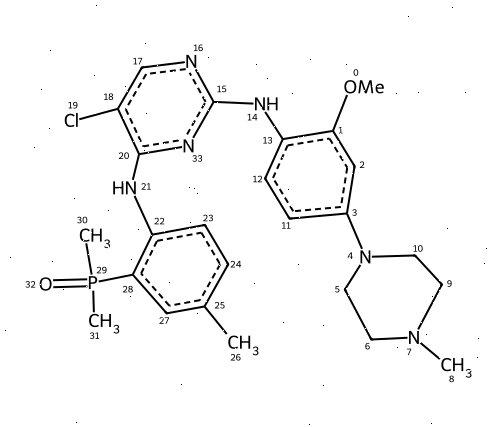 COc1cc(N2CCN(C)CC2)ccc1Nc1ncc(Cl)c(Nc2ccc(C)cc2P(C)(C)=O)n1